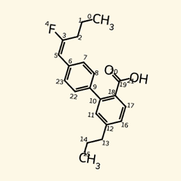 CCC/C(F)=C\c1ccc(-c2cc(CCC)ccc2C(=O)O)cc1